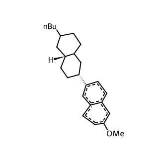 CCCCC1CCC2C[C@H](c3ccc4cc(OC)ccc4c3)CC[C@@H]2C1